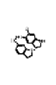 Oc1cc2c(cc1O)NCC2.Oc1ccc2c(c1)NCC2